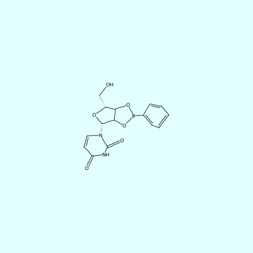 O=c1ccn([C@@H]2O[C@H](CO)C3OB(c4ccccc4)OC32)c(=O)[nH]1